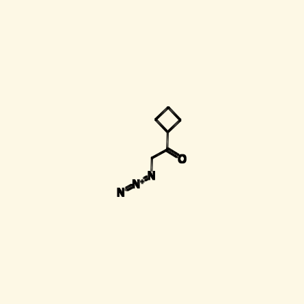 [N-]=[N+]=NCC(=O)C1CCC1